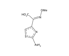 CO/N=C(\C(=O)O)c1csc([AsH2])n1